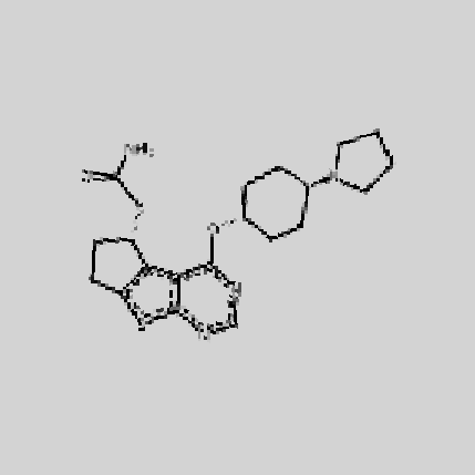 NC(=O)C[C@H]1CCc2sc3ncnc(O[C@H]4CC[C@H](N5CCCC5)CC4)c3c21